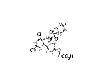 O=C(O)COc1ccc(-c2cc(Cl)cc(Cl)c2)c(NS(=O)(=O)c2cccnc2)c1